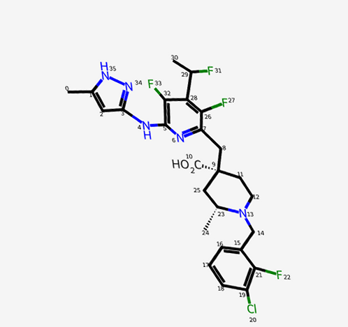 Cc1cc(Nc2nc(C[C@@]3(C(=O)O)CCN(Cc4cccc(Cl)c4F)[C@H](C)C3)c(F)c(C(C)F)c2F)n[nH]1